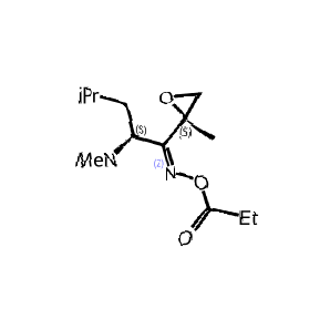 CCC(=O)O/N=C(/[C@H](CC(C)C)NC)[C@@]1(C)CO1